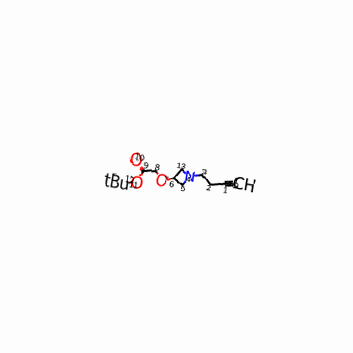 C#CCCN1CC(OCC(=O)OC(C)(C)C)C1